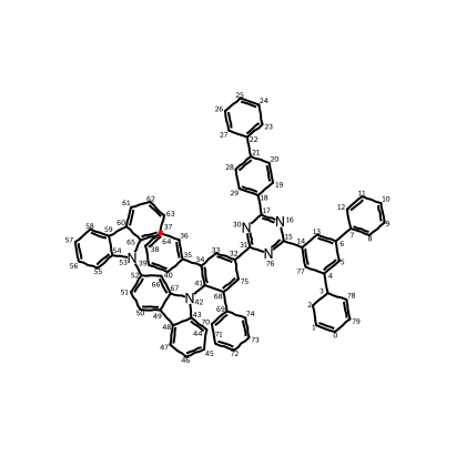 C1=CCC(c2cc(-c3ccccc3)cc(-c3nc(-c4ccc(-c5ccccc5)cc4)nc(-c4cc(-c5ccccc5)c(-n5c6ccccc6c6ccc(-n7c8ccccc8c8ccccc87)cc65)c(-c5ccccc5)c4)n3)c2)C=C1